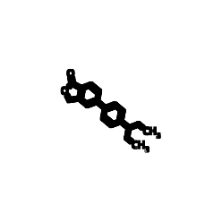 CCC(CC)c1ccc(-c2ccc3c(c2)COC3=O)cc1